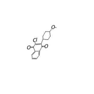 COC1CCC(C2=C(Cl)C(=O)c3ccccc3C2=O)CC1